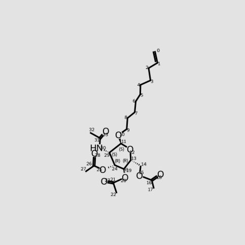 C=CCCCCCCCCO[C@H]1O[C@H](COC(C)=O)[C@H](OC(C)=O)[C@H](OC(C)=O)[C@@H]1NC(C)=O